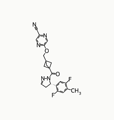 Cc1cc(F)c([C@@H]2CC=NN2C(=O)C23CC(COc4cnc(C#N)cn4)(C2)C3)cc1F